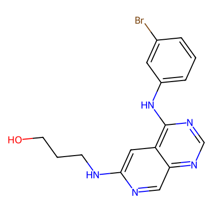 OCCCNc1cc2c(Nc3cccc(Br)c3)ncnc2cn1